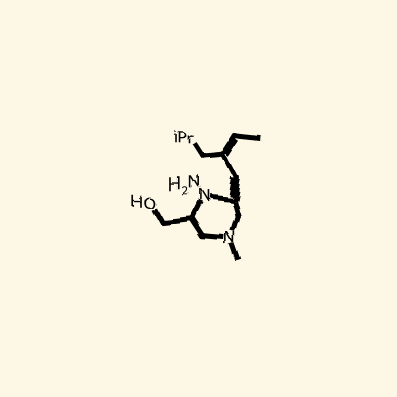 C/C=C(\C=C1\CN(C)CC(CO)N1N)CC(C)C